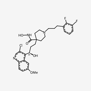 COc1ccc2ncc(Cl)c([C@H](O)CCC3(C(=O)NO)CCN(CCCc4cccc(F)c4F)CC3)c2c1